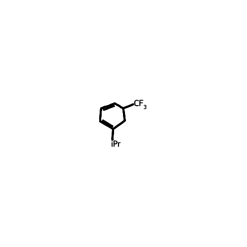 CC(C)C1=CC=CC(C(F)(F)F)C1